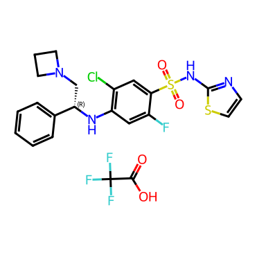 O=C(O)C(F)(F)F.O=S(=O)(Nc1nccs1)c1cc(Cl)c(N[C@@H](CN2CCC2)c2ccccc2)cc1F